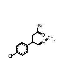 C=C=CC(CC(=O)C(C)(C)C)c1ccc(Cl)cc1